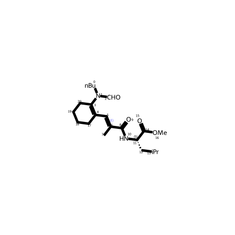 CCCCN(C=O)C1=C(/C=C(\C)C(=O)N[C@@H](CC(C)C)C(=O)OC)CCCC1